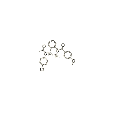 COc1ccc(C(=O)N2c3ccccc3[C@@H](N(C(C)=O)c3ccc(Cl)cc3)C[C@H]2C)cc1